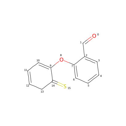 O=Cc1ccccc1OC1=CC=CCC1=S